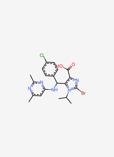 Cc1cc(NC(c2ccc(Cl)cc2)c2c(C(=O)O)nc(Br)n2C(C)C)nc(C)n1